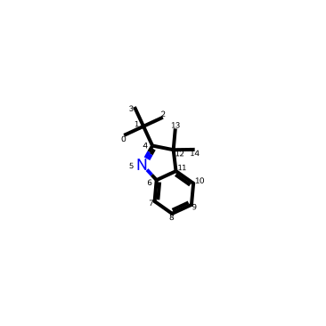 CC(C)(C)C1=Nc2ccccc2C1(C)C